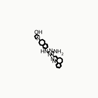 Nc1nc(Nc2ccc3c(c2)CCC(N2CCC(O)C2)CC3)nn1-c1cc2c(nn1)-c1ccccc1CCC2